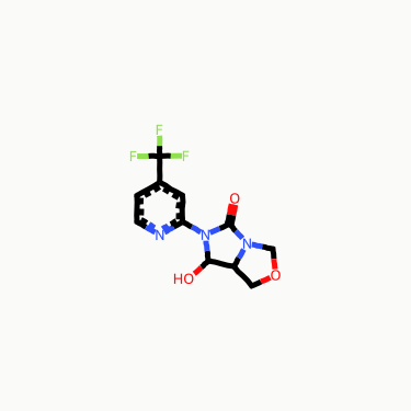 O=C1N2COCC2C(O)N1c1cc(C(F)(F)F)ccn1